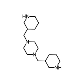 C1CNCC(CN2CCN(CC3CCCNC3)CC2)C1